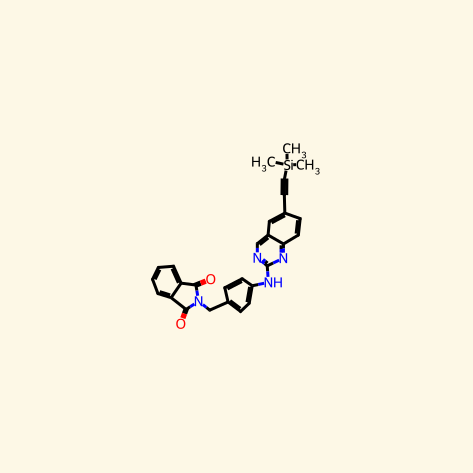 C[Si](C)(C)C#Cc1ccc2nc(Nc3ccc(CN4C(=O)c5ccccc5C4=O)cc3)ncc2c1